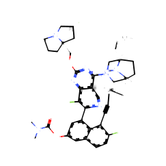 COC[C@@]12CC[C@@H](CN(c3nc(OC[C@@]45CCCN4C[C@H](F)C5)nc4c(F)c(-c5cc(OC(=O)N(C)C)cc6ccc(F)c(C#C[Si](C(C)C)(C(C)C)C(C)C)c56)ncc34)C1)N2C(=O)O